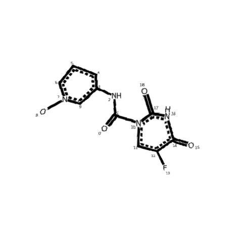 O=C(Nc1ccc[n+]([O-])c1)n1cc(F)c(=O)[nH]c1=O